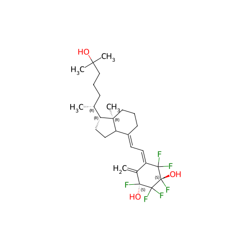 C=C1C(=CC=C2CCC[C@@]3(C)C2CC[C@@H]3[C@H](C)CCCC(C)(C)O)C(F)(F)[C@](O)(F)C(F)(F)[C@@]1(O)F